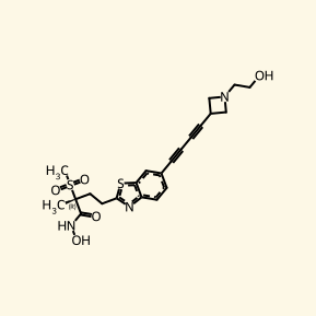 C[C@@](CCc1nc2ccc(C#CC#CC3CN(CCO)C3)cc2s1)(C(=O)NO)S(C)(=O)=O